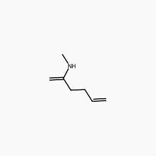 C=CCCC(=C)NC